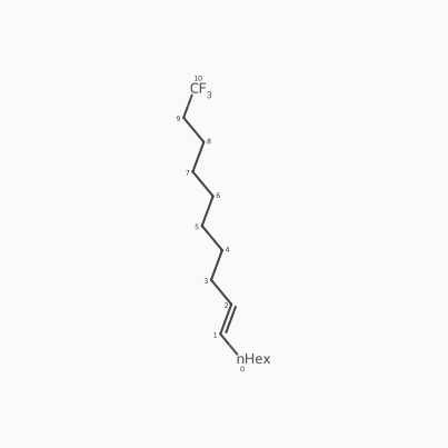 [CH2]CCCCC/C=C/CCCCCCCC(F)(F)F